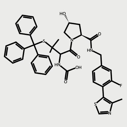 Cc1ncsc1-c1ccc(CNC(=O)[C@@H]2C[C@@H](O)CN2C(=O)C(NC(=O)O)C(C)(C)SC(c2ccccc2)(c2ccccc2)c2ccccc2)cc1F